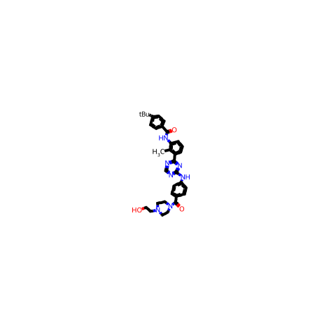 Cc1c(NC(=O)c2ccc(C(C)(C)C)cc2)cccc1-c1ncnc(Nc2ccc(C(=O)N3CCN(CCO)CC3)cc2)n1